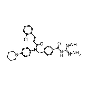 N=N/C(=N\N)NC(=O)c1ccc(CN(C(=O)/C=C/c2ccccc2Cl)c2ccc(N3CCCCC3)cc2)cc1